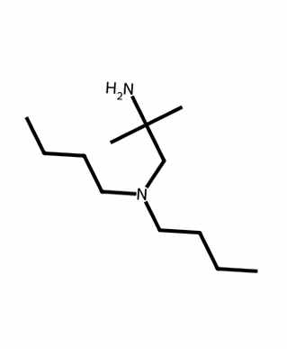 CCCCN(CCCC)CC(C)(C)N